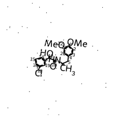 COc1ccc(CC(C)NC(=O)C(O)c2cccc(Cl)c2)cc1OC